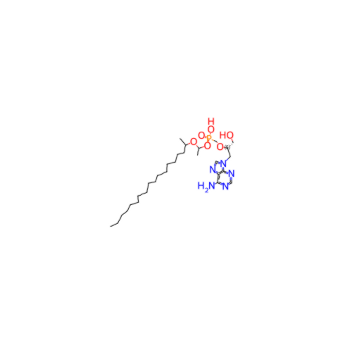 CCCCCCCCCCCCCCCCC(C)OC(C)OP(=O)(O)CO[C@H](CO)Cn1cnc2c(N)ncnc21